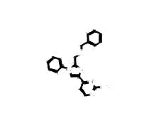 CSc1nccc(-c2cn(-c3ccccc3)c(COCc3ccccc3)n2)n1